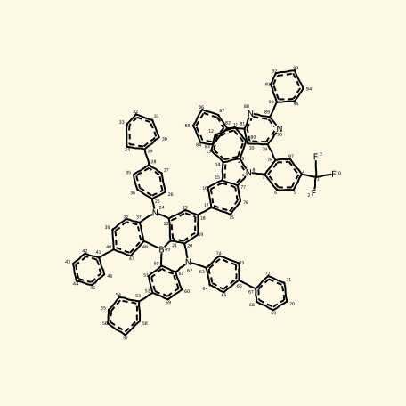 FC(F)(F)c1ccc(-n2c3ccccc3c3cc(-c4cc5c6c(c4)N(c4ccc(-c7ccccc7)cc4)c4ccc(-c7ccccc7)cc4B6c4cc(-c6ccccc6)ccc4N5c4ccc(-c5ccccc5)cc4)ccc32)c(-c2cc(-c3ccccc3)nc(-c3ccccc3)n2)c1